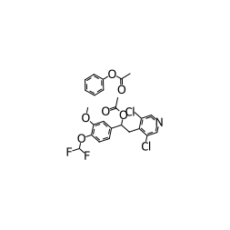 CC(=O)Oc1ccccc1.COc1cc(C(Cc2c(Cl)cncc2Cl)OC(C)=O)ccc1OC(F)F